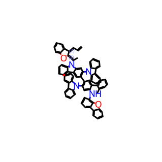 C=C/C=c1\c(=C(/C)n2c3ccccc3c3cc(-c4cc(-c5ccccc5C)c(Nc5cccc6c5oc5ccccc56)cc4-n4c5ccccc5c5ccccc54)c(-n4c5ccccc5c5ccccc54)cc32)oc2ccccc12